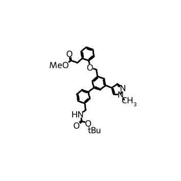 COC(=O)Cc1ccccc1OCc1cc(-c2cccc(CNC(=O)OC(C)(C)C)c2)cc(-c2cnn(C)c2)c1